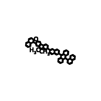 CC1(C)c2cc(-c3ccc4cc(-c5c6ccccc6c(-c6cccc7ccccc67)c6ccccc56)ccc4c3)ccc2-c2cc3oc4ccc5ccccc5c4c3cc21